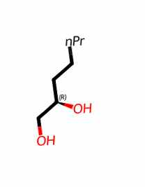 CCCCC[C@@H](O)CO